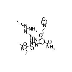 CC/C=C/N=C(/N)N(C)C/C=C/Cn1c(NC(=O)c2oc(C)nc2CC)nc2cc(C(N)=O)cc(OCCCN3CCOCC3)c21